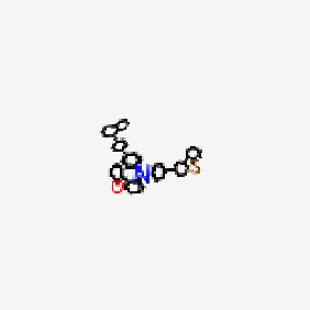 c1ccc2c(-c3ccc(-c4ccc(N(c5ccc(-c6ccc7sc8ccccc8c7c6)cc5)c5cccc6oc7ccccc7c56)cc4)cc3)cccc2c1